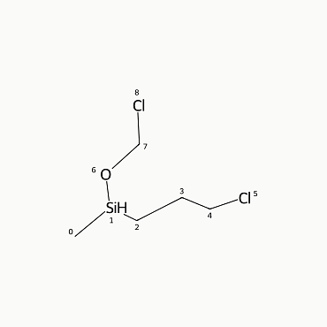 C[SiH](CCCCl)OCCl